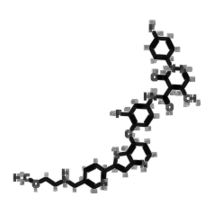 COCCNCc1ccc(-c2cc3nccc(Oc4ccc(NC(=O)c5c(C)cnn(-c6ccc(F)cc6)c5=O)cc4F)c3s2)nc1